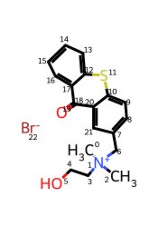 C[N+](C)(CCO)Cc1ccc2sc3ccccc3c(=O)c2c1.[Br-]